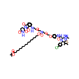 CC1=C(C)C2C(c3ccc(Cl)cc3)=N[C@@H](CC(=O)Nc3ccc(OCCOCCN(CCOCCNc4cccc5c4C(=O)N(C4CCC(=O)NC4=O)C5=O)C(=O)OCCCCCCCCCCCCCCCCCC(=O)OC(C)(C)C)cc3)c3nnc(C)n3C2S1